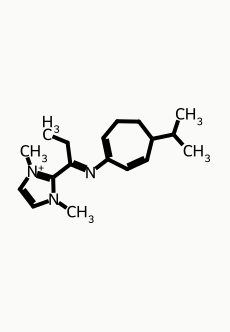 CC/C(=N\C1=CCCC(C(C)C)C=C1)c1n(C)cc[n+]1C